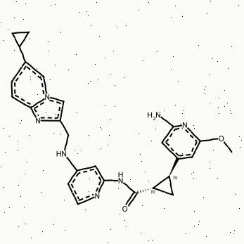 COc1cc([C@H]2C[C@@H]2C(=O)Nc2cc(NCc3cn4cc(C5CC5)ccc4n3)ccn2)cc(N)n1